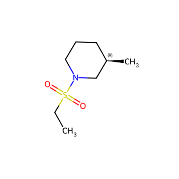 CCS(=O)(=O)N1CCC[C@@H](C)C1